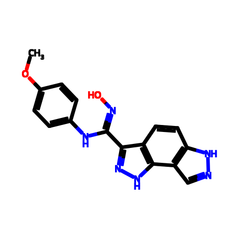 COc1ccc(NC(=NO)c2n[nH]c3c2ccc2[nH]ncc23)cc1